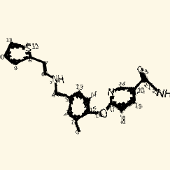 Cc1cc(CNCCc2cccs2)ccc1Oc1ccc(C(N)=O)cn1